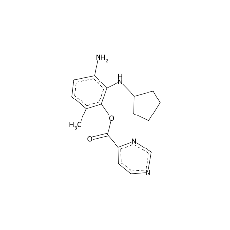 Cc1ccc(N)c(NC2CCCC2)c1OC(=O)c1ccncn1